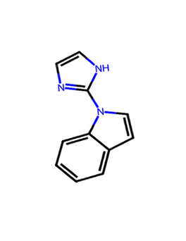 c1ccc2c(c1)ccn2-c1ncc[nH]1